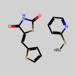 CCCCSc1ccccn1.O=C1NC(=O)C(=Cc2cccs2)S1